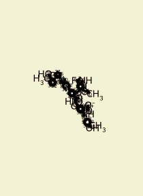 CCOc1nc2[nH]cc(F)c2cc1Oc1cc(N2CCC3(CC2)CN([C@@H]2CCC[C@@H]2c2ccccc2C(C)(C)O)C3)ccc1C(=O)NS(=O)(=O)c1ccc(NC[C@H]2CC[C@](C)(O)CC2)c([N+](=O)[O-])c1